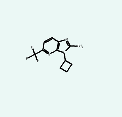 Cc1nc2ccc(C(F)(F)F)nc2n1C1CCC1